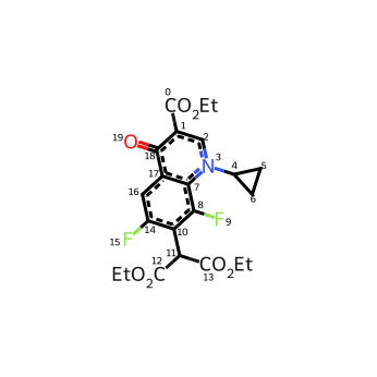 CCOC(=O)c1cn(C2CC2)c2c(F)c(C(C(=O)OCC)C(=O)OCC)c(F)cc2c1=O